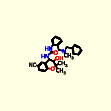 CN(Cc1ccccc1)Cc1ccccc1NC(=O)NC1c2cc(C#N)ccc2OC(C)(C)C1O